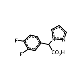 O=C(O)C(c1ccc(F)c(F)c1)n1cccn1